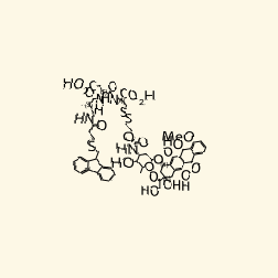 COc1cccc2c1C(=O)c1c(O)c3c(c(O)c1C2=O)C[C@@](O)(C(=O)CO)C[C@@H]3OC1CC(NC(=O)OCCSSC[C@H](NC(=O)[C@H](CC(=O)O)NC(=O)[C@@H](C)CNC(=O)CCSCC2c3ccccc3-c3ccccc32)C(=O)O)C(O)C(C)O1